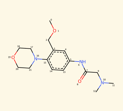 COCc1cc(NC(=O)CN(C)C)ccc1N1CCOCC1